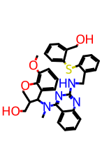 COc1cccc2c1OCC(CO)C2N(C)c1nc(NCc2ccccc2Sc2ccccc2CO)nc2ccccc12